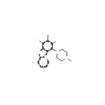 CCCCCCc1c(C)c(C#N)c2nc3ccccn3c2c1N1CCN(C)CC1